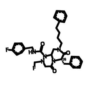 O=C1[C@H](Cc2ccccc2)N2C(=O)CN(CF)N(C(=O)NCc3ccc(F)cc3)C2CN1CCCCc1ccccc1